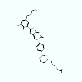 CC(=O)CNCC[C@@H]1CCC[C@@H](c2ccc(-n3cc4cc(-c5cc(CCC[C@H](C)N)cc(Cl)c5F)[nH]c4nc3=O)cc2)N1